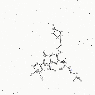 C=Nc1cc(OCCC2C3CN(C)CC23)c(NC(=O)/C=C/CN(C)C)cc1/C(=N\C)Nc1ccc(F)c(Cl)c1